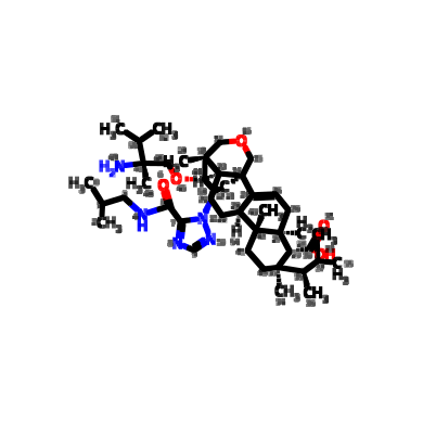 CC(C)CNC(=O)c1ncnn1[C@@H]1C[C@@]23COC[C@](C)([C@@H]2CC[C@H]2C3=CC[C@@]3(C)[C@H](C(=O)O)[C@@](C)([C@H](C)C(C)C)CC[C@]23C)[C@H]1OC[C@](C)(N)C(C)C